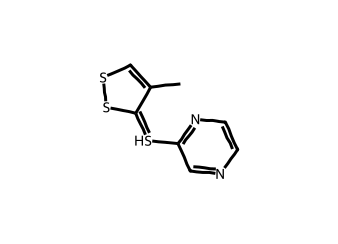 Cc1cssc1=[SH]c1cnccn1